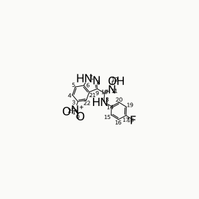 O=[N+]([O-])c1ccc2[nH]nc(/C(=N\O)Nc3ccc(F)cc3)c2c1